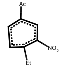 [CH2]Cc1ccc(C(C)=O)cc1[N+](=O)[O-]